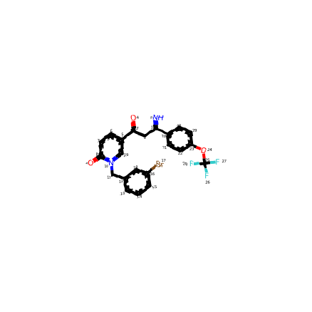 N=C(CC(=O)c1ccc(=O)n(Cc2cccc(Br)c2)c1)c1ccc(OC(F)(F)F)cc1